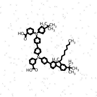 CCCCCCCCC1(C)c2cc(-c3ccc(N(c4ccc(-c5ccc(N(c6ccc(C(C)(C)C)cc6)c6cccc(C(=O)O)c6)cc5)cc4)c4cccc(C(=O)O)c4)cc3)ccc2-c2ccc(C(C)(C)C)cc21